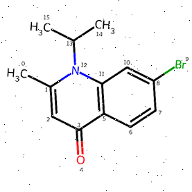 Cc1cc(=O)c2ccc(Br)cc2n1C(C)C